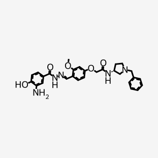 COc1cc(OCC(=O)N[C@@H]2CCN(Cc3ccccc3)C2)ccc1/C=N/NC(=O)c1ccc(O)c(N)c1